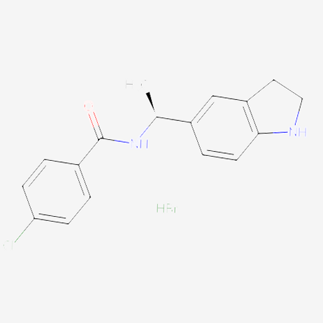 Br.C[C@H](NC(=O)c1ccc(Cl)cc1)c1ccc2c(c1)CCN2